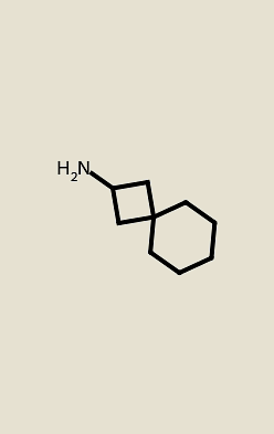 NC1CC2(CCCCC2)C1